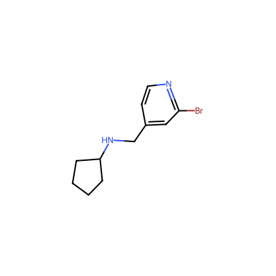 Brc1cc(CNC2CCCC2)ccn1